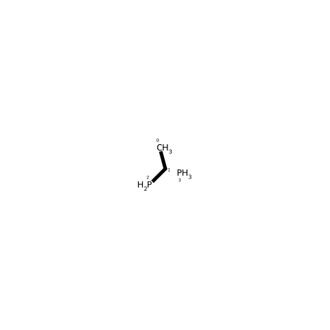 CCP.P